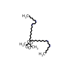 CCCCC/C=C\C/C=C\CCCCCCCCC1(CCCCCCCC/C=C\C/C=C\CCCCC)OC(C(C)=O)C(C(C)=O)O1